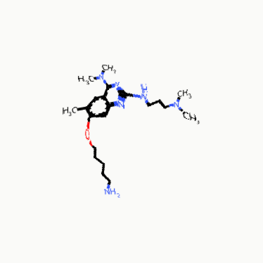 Cc1cc2c(N(C)C)nc(NCCCN(C)C)nc2cc1OCCCCCN